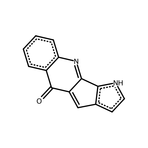 O=C1C2=Cc3cc[nH]c3C2=Nc2ccccc21